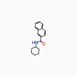 O=C(NC1CCCCC1)c1ccc2ccccc2c1